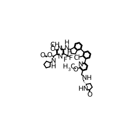 COc1nc(-c2cccc(-c3cccc4c3CC[C@@H]4Nc3nc(OC)c(C(NC4CCCC4)OC=O)nc3C(F)(F)F)c2Cl)ccc1CNC[C@@H]1CCC(=O)N1